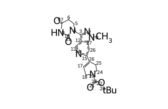 Cn1nc(N2CCC(=O)NC2=O)c2cnc(C3=CCN(C(=O)OC(C)(C)C)CC3)cc21